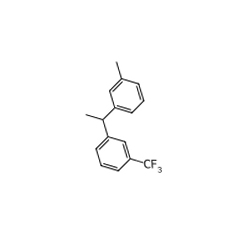 Cc1cccc(C(C)c2cccc(C(F)(F)F)c2)c1